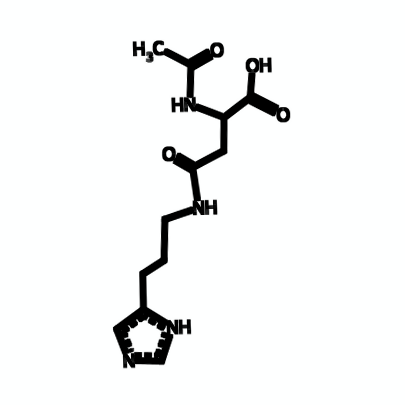 CC(=O)NC(CC(=O)NCCCc1cnc[nH]1)C(=O)O